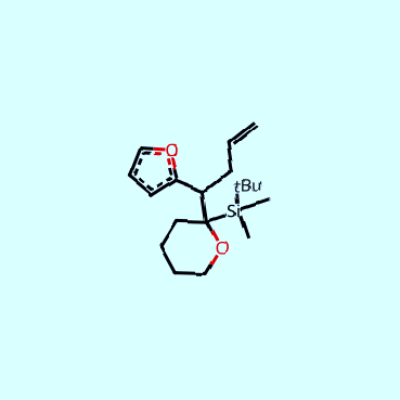 C=CCC(c1ccco1)C1([Si](C)(C)C(C)(C)C)CCCCO1